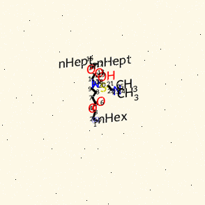 CCCCCC/C=C\COC(=O)CCCN(CC(=O)OC(CCCCCCC)CCCCCCC)C(O)SCCN(C)C